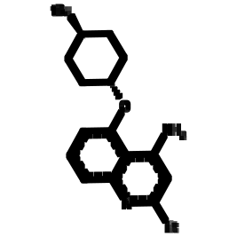 CCc1cc(N)c2c(O[C@H]3CC[C@H](C(C)(C)C)CC3)cccc2n1